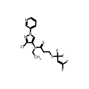 CCN(C(=S)CCSC(F)(F)C=C(F)F)c1cn(-c2cccnc2)nc1Cl